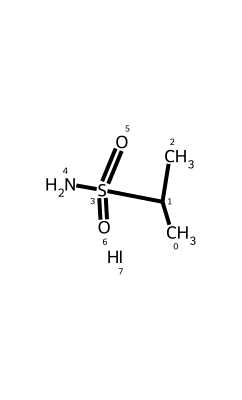 CC(C)S(N)(=O)=O.I